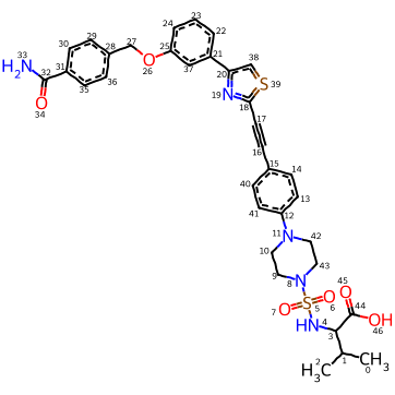 CC(C)C(NS(=O)(=O)N1CCN(c2ccc(C#Cc3nc(-c4cccc(OCc5ccc(C(N)=O)cc5)c4)cs3)cc2)CC1)C(=O)O